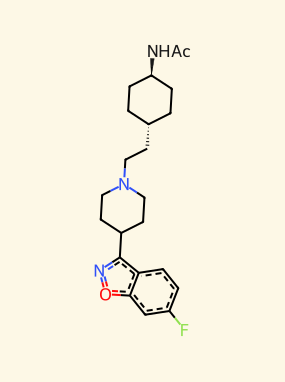 CC(=O)N[C@H]1CC[C@H](CCN2CCC(c3noc4cc(F)ccc34)CC2)CC1